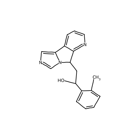 Cc1ccccc1C(O)CC1c2ncccc2-c2cncn21